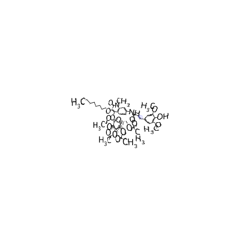 CCCCCCCCOc1c(O[C@@H]2O[C@H](COC(C)=O)[C@@H](OC(C)=O)[C@H](OC(C)=O)[C@H]2OC(C)=O)c2ccc(NC(=O)/C=C/c3cc(OC)c(O)c(OC)c3)cc2n(C)c1=O